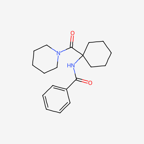 O=C(NC1(C(=O)N2CCCCC2)CCCCC1)c1ccccc1